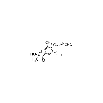 Cc1cc(C(=O)C(C)(C)O)cc(C)c1OCOC=O